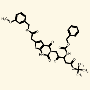 COc1cccc(CNC(=O)Cc2cc3c(=O)n(CC(=O)C(CC(=O)OC(C)(C)C)NC(=O)OCc4ccccc4)c(=O)[nH]c3s2)c1